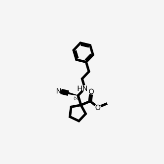 COC(=O)C1([C@@H](C#N)NCCc2ccccc2)CCCC1